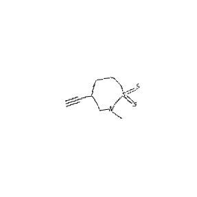 C#CC1CCS(=S)(=S)N(C)C1